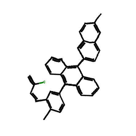 C=C(F)/C=C\c1cc(-c2c3ccccc3c(-c3ccc4cc(C)ccc4c3)c3ccccc23)ccc1C